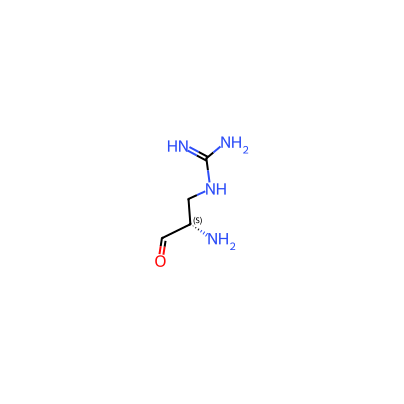 N=C(N)NC[C@H](N)C=O